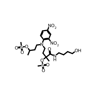 CC(CCN(CCC(C)(OS(C)(=O)=O)C(=O)NCCCCO)c1ccc([N+](=O)[O-])cc1[N+](=O)[O-])OS(C)(=O)=O